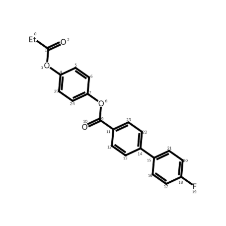 CCC(=O)Oc1ccc(OC(=O)c2ccc(-c3ccc(F)cc3)cc2)cc1